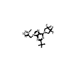 Cn1nnnc1Cn1cnc2c(N3CC(F)(F)C(F)(F)C3)nc(C(C)(C)C)nc21